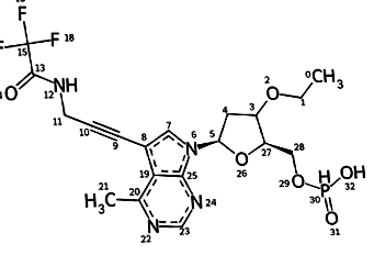 CCOC1C[C@H](n2cc(C#CCNC(=O)C(F)(F)F)c3c(C)ncnc32)O[C@@H]1CO[PH](=O)O